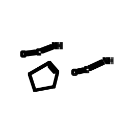 C1=CCCC1.N=C=O.N=C=O